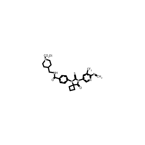 C=Nc1ncc(N2C(=O)C3(CCC3)N(c3ccc(C(=O)NCC4CCN(C(=O)OCC)CC4)cc3)C2=S)cc1C(F)(F)F